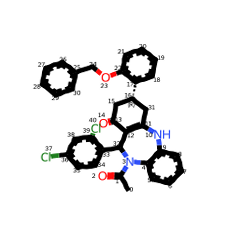 CC(=O)N1c2ccccc2NC2=C(C(=O)C[C@H](c3ccccc3OCc3ccccc3)C2)C1c1ccc(Cl)cc1Cl